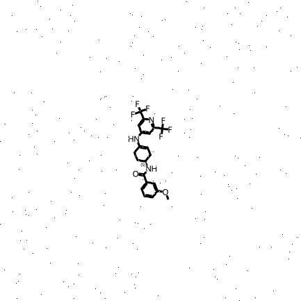 COc1cccc(C(=O)N[C@@H]2CC=C(Nc3cc(C(F)(F)F)nc(C(F)(F)F)c3)CC2)c1